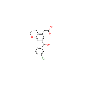 O=C(O)Cc1cc(C(O)c2cccc(Cl)c2)cc2c1CCCO2